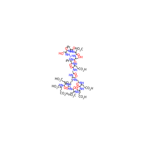 CC(C)[C@H](NC(=O)[C@H](CO)NC(=O)[C@H](CC(=O)O)NC(=O)[C@@H](NC(=O)[C@@H](N)CO)C(C)C)C(=O)N[C@@H](CCC(=O)O)C(=O)NCC(=O)N[C@@H](CCC(=O)O)C(=O)NCC(=O)N[C@@H](CCC(=O)O)C(=O)N[C@@H](CCC(=O)O)C(=O)N[C@@H](CCC(=O)O)C(=O)NCC(=O)N[C@@H](CCC(=O)O)C(=O)N[C@@H](CCC(=O)O)C(=O)O